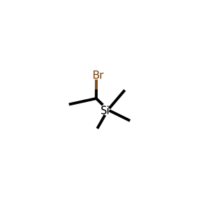 CC(Br)[Si](C)(C)C